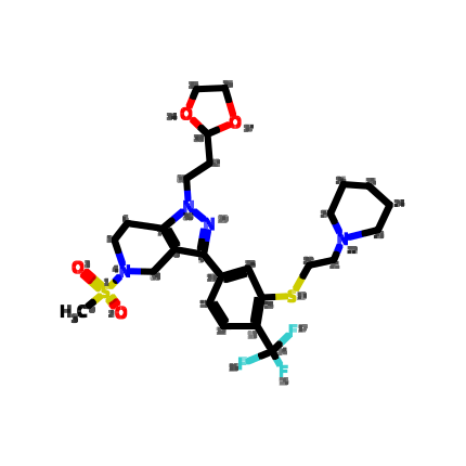 CS(=O)(=O)N1CCc2c(c(-c3ccc(C(F)(F)F)c(SCCN4CCCCC4)c3)nn2CCC2OCCO2)C1